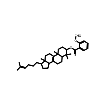 CC(C)=CCCCC1CCC2C3=C(CCC12C)C1(C)CCC(OC(=O)c2ccccc2OC=O)C(C)(C)C1CC3